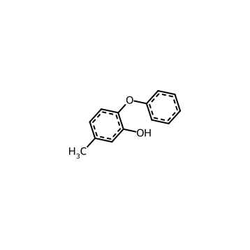 Cc1ccc(Oc2ccccc2)c(O)c1